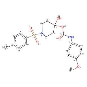 Cc1ccc(S(=O)(=O)N2CCC(O)(OC(=O)Nc3ccc(OC(C)C)cc3)CC2)cc1